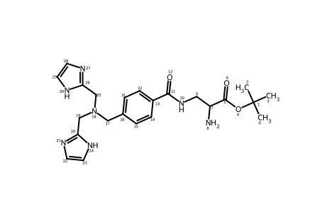 CC(C)(C)OC(=O)C(N)CNC(=O)c1ccc(CN(Cc2ncc[nH]2)Cc2ncc[nH]2)cc1